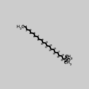 CCCCCCCCCCCCCCCCCCCCC[N+](C)(C)[O-]